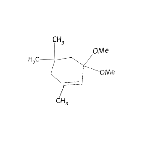 COC1(OC)C=C(C)CC(C)(C)C1